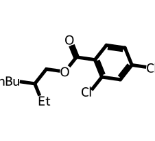 CCCCC(CC)COC(=O)c1ccc(Cl)cc1Cl